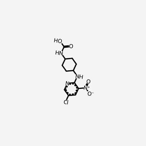 O=C(O)NC1CCC(Nc2ncc(Cl)cc2[N+](=O)[O-])CC1